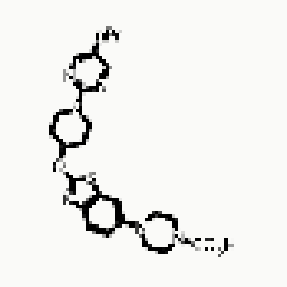 CCCc1cnc(N2CCC(Oc3nc4ccc(N5CCN(C(=O)O)CC5)cc4s3)CC2)nc1